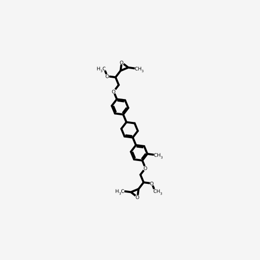 COC(COc1ccc(C2CC=C(c3ccc(OCC(OC)C4OC4C)c(C)c3)CC2)cc1)C1OC1C